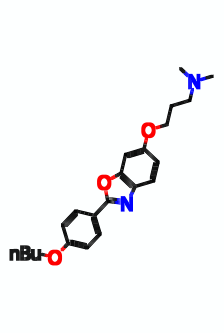 CCCCOc1ccc(-c2nc3ccc(OCCCN(C)C)cc3o2)cc1